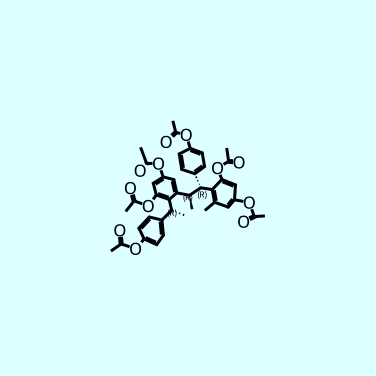 CC(=O)Oc1ccc([C@@H](C)c2c(OC(C)=O)cc(OC(C)=O)cc2[C@H](C)[C@H](c2ccc(OC(C)=O)cc2)c2c(C)cc(OC(C)=O)cc2OC(C)=O)cc1